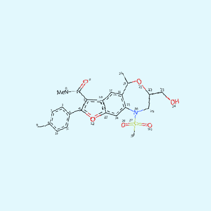 CNC(=O)c1c(-c2ccc(C)cc2)oc2cc3c(cc12)C(C)OC(CO)CN3S(C)(=O)=O